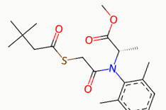 COC(=O)[C@H](C)N(C(=O)CSC(=O)CC(C)(C)C)c1c(C)cccc1C